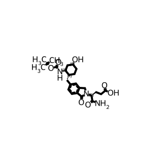 CC(C)(C)OC(=O)N[C@H]1C[C@@H](O)CC[C@@H]1Cc1ccc2c(c1)CN([C@@H](CCC(=O)O)C(N)=O)C2=O